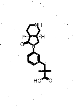 CC(C)(Cc1cccc(N2C[C@@H]3CNCC[C@]3(F)C2=O)c1)C(=O)O